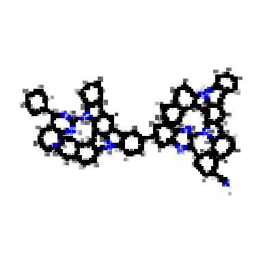 N#Cc1ccc(-c2nc3cc(-c4ccc5c(c4)c4cc6c7ccccc7n(-c7nc(-c8ccccc8)c8cccnc8n7)c6c6c7c8ccccc8ccc7n5c46)ccc3nc2-n2c3ccccc3c3cc4c5ccccc5n5c6ccc7ccccc7c6c(c32)c45)cc1